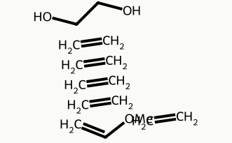 C=C.C=C.C=C.C=C.C=C.C=COC.OCCO